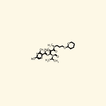 C/C(C(=O)N(C)CCCOC1CCCCO1)=C(\N=C(/C)c1bcc(O)nc1C)N(C=O)C(C)C